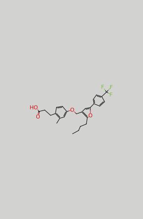 CCCCc1oc(-c2ccc(C(F)(F)F)cc2)cc1COc1ccc(CCC(=O)O)c(C)c1